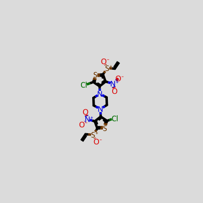 C=C[S+]([O-])c1sc(Cl)c(N2CCN(c3c(Cl)sc([S+]([O-])C=C)c3[N+](=O)[O-])CC2)c1[N+](=O)[O-]